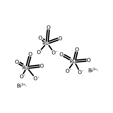 [Bi+3].[Bi+3].[O]=[Ru](=[O])(=[O])([O-])[O-].[O]=[Ru](=[O])(=[O])([O-])[O-].[O]=[Ru](=[O])(=[O])([O-])[O-]